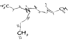 C/C=C/CCN(CCC)CCC